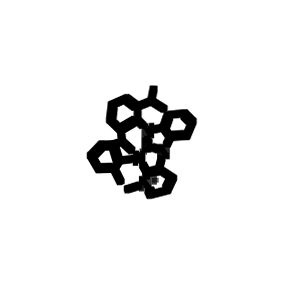 Cc1ccccc1N1B2N(c3ccccc3N2c2c(C(C)C)cccc2C(C)C)c2ccc[n+](C)c21